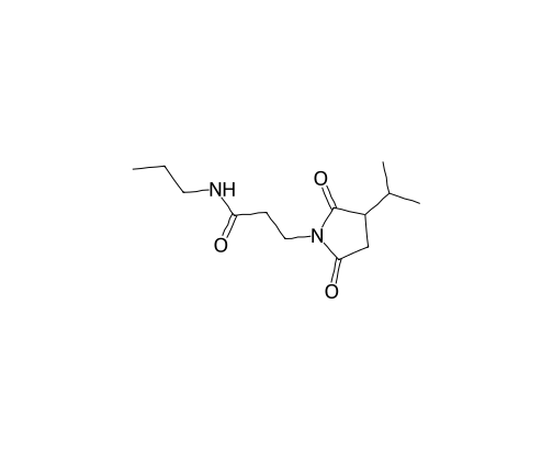 CCCNC(=O)CCN1C(=O)CC(C(C)C)C1=O